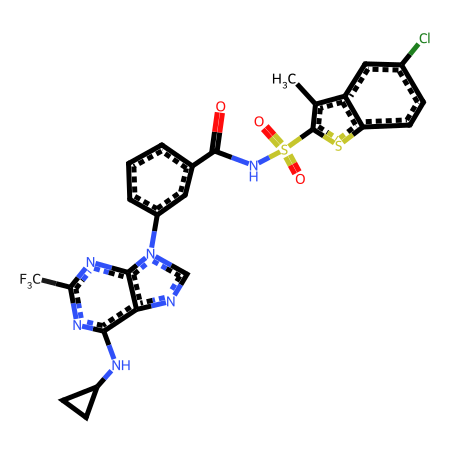 Cc1c(S(=O)(=O)NC(=O)c2cccc(-n3cnc4c(NC5CC5)nc(C(F)(F)F)nc43)c2)sc2ccc(Cl)cc12